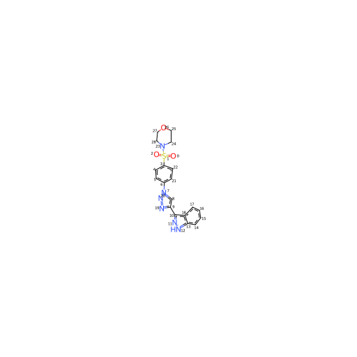 O=S(=O)(c1ccc(-n2cc(-c3n[nH]c4ccccc34)nn2)cc1)N1CCOCC1